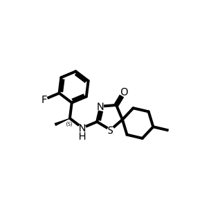 CC1CCC2(CC1)SC(N[C@@H](C)c1ccccc1F)=NC2=O